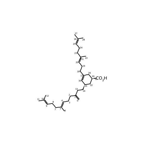 C=C(CC/C=C(\C)CCC=C(C)C)CC[C@H]1C=C(CC/C=C(\C)CCC=C(C)C)C[C@@H](C(=O)O)C1